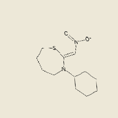 O=[N+]([O-])C=C1SCCCCN1C1CCCCC1